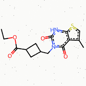 CCOC(=O)C1CC(Cn2c(=O)[nH]c3scc(C)c3c2=O)C1